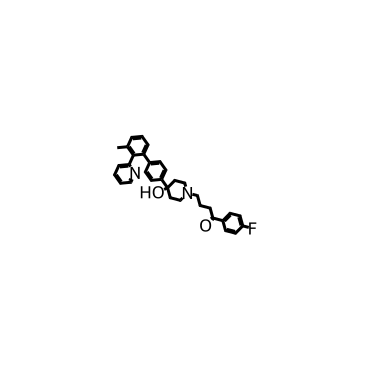 Cc1cccc(-c2ccc(C3(O)CCN(CCCC(=O)c4ccc(F)cc4)CC3)cc2)c1-c1ccccn1